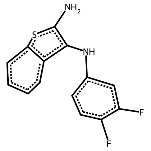 Nc1sc2ccccc2c1Nc1ccc(F)c(F)c1